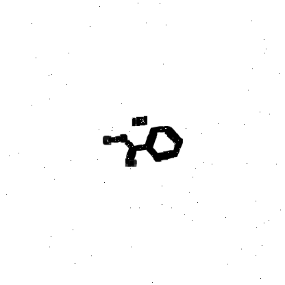 Cl.ClOC(=[Se])c1ccccc1